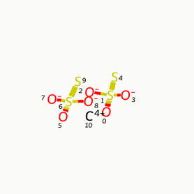 O=S([O-])([O-])=S.O=S([O-])([O-])=S.[C+4]